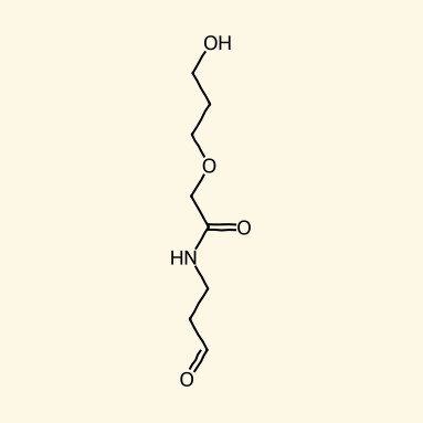 O=CCCNC(=O)COCCCO